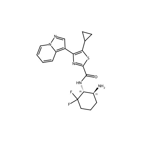 N[C@H]1CCCC(F)(F)[C@@H]1NC(=O)c1nc(-c2cnn3ccccc23)c(C2CC2)s1